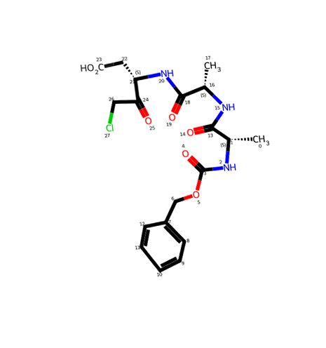 C[C@H](NC(=O)OCc1ccccc1)C(=O)N[C@@H](C)C(=O)N[C@@H](CC(=O)O)C(=O)CCl